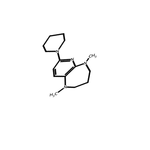 CN1CCCN(C)c2nc(N3CCCCC3)ccc21